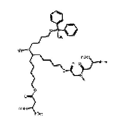 CCCCCCCCC(CCCCCC)CC(=O)OCCCCCC(CCCCCOC(=O)CN(C)C(=O)CC(CCCCCC)CCCCCCCC)N(CCC)CCCCO[Si](c1ccccc1)(c1ccccc1)C(C)(C)C